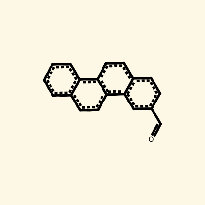 O=Cc1ccc2ccc3c4ccccc4ccc3c2c1